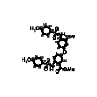 CCCc1cc(Oc2ccc(NS(=O)(=O)c3ccc(C)cc3)c(C(=O)OC)c2)ccc1NS(=O)(=O)c1ccc(C)cc1